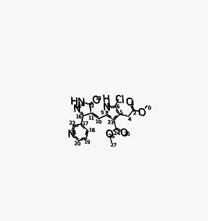 COC(=O)Cc1c(Cl)[nH]c(C=C2C(=O)NN=C2c2cccnc2)c1C(=O)OC